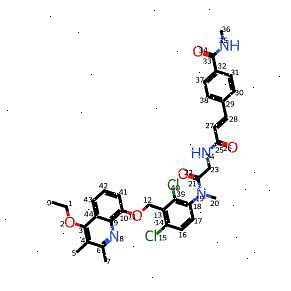 CCOc1c(C)c(C)nc2c(OCc3c(Cl)ccc(N(C)C(=O)CNC(=O)C=Cc4ccc(C(=O)NC)cc4)c3Cl)cccc12